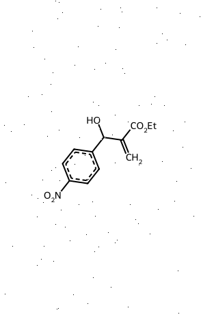 C=C(C(=O)OCC)C(O)c1ccc([N+](=O)[O-])cc1